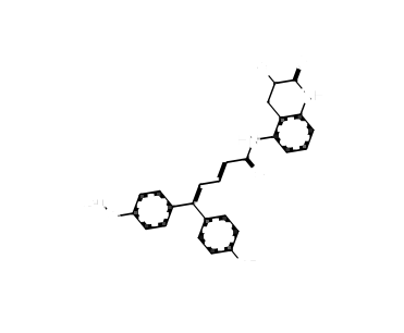 CC(C)(C)Oc1ccc(/C(=C/C=C/C(=O)Nc2cccc3c2CC(O)C(=O)N3)c2ccc(C(F)(F)F)cc2)cc1